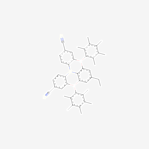 CCc1cc2c3c(c1)B(c1c(C)c(C)c(C)c(C)c1C)c1cc(C#N)ccc1N3c1ccc(C#N)cc1B2c1c(C)c(C)c(C)c(C)c1C